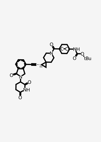 CC(C)(C)OC(=O)NC12CCC(C(=O)N3CCC4(CC3)C[C@@H]4C#Cc3cccc4c3CN(C3CCC(=O)NC3=O)C4=O)(CC1)CC2